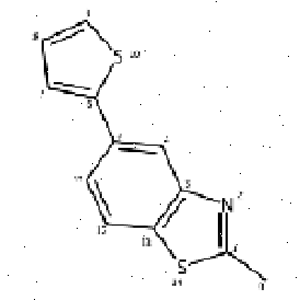 Cc1nc2cc(-c3cccs3)ccc2s1